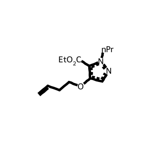 C=CCCOc1cnn(CCC)c1C(=O)OCC